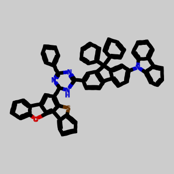 c1ccc(C2=NC(c3cc4c5ccccc5oc4c4c3sc3ccccc34)NC(c3ccc4c(c3)C(c3ccccc3)(c3ccccc3)c3cc(-n5c6ccccc6c6ccccc65)ccc3-4)=N2)cc1